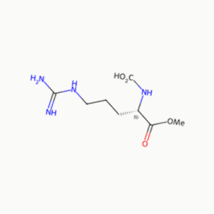 COC(=O)[C@H](CCCNC(=N)N)NC(=O)O